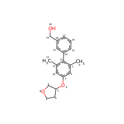 Cc1cc(OC2CCOC2)cc(C)c1-c1cccc(CO)c1